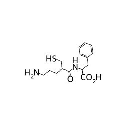 NCCCC(CS)C(=O)N[C@@H](Cc1ccccc1)C(=O)O